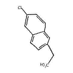 O=C(O)Cc1ccc2cc(Cl)ccc2c1